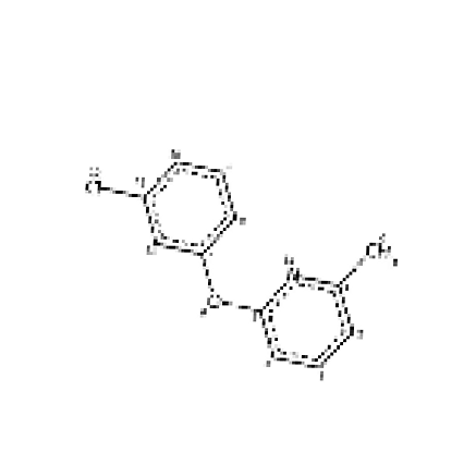 Cc1cccc(Oc2cccc(Cl)c2)n1